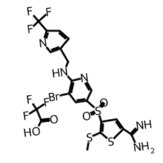 CSc1sc(C(=N)N)cc1S(=O)(=O)c1cnc(NCc2ccc(C(F)(F)F)nc2)c(Br)c1.O=C(O)C(F)(F)F